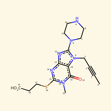 CC#CCn1c(N2CCNCC2)nc2nc(SCCC(=O)O)n(C)c(=O)c21